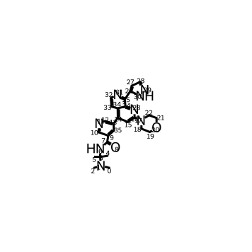 CN(C)C(C)(C)NC(=O)c1cncc(-c2cc(N3CCOCC3)nc3c(-c4ccn[nH]4)nccc23)c1